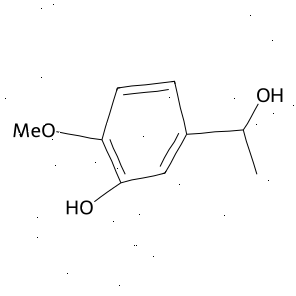 COc1ccc(C(C)O)cc1O